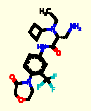 CCN(C1CCC1)[C@H](CN)C(=O)Nc1ccc(N2CCOCC2=O)c(C(F)(F)F)c1